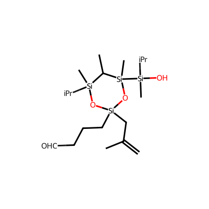 C=C(C)C[Si]1(CCCC=O)O[Si](C)(C(C)C)C(C)[Si](C)([Si](C)(O)C(C)C)O1